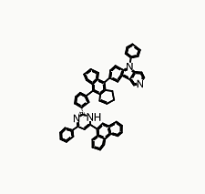 C1=Cc2c(c(-c3ccc4c(c3)c3cnccc3n4-c3ccccc3)c3ccccc3c2-c2cccc([C@H]3N=C(c4ccccc4)C=C(c4cc5ccccc5c5ccccc45)N3)c2)CC1